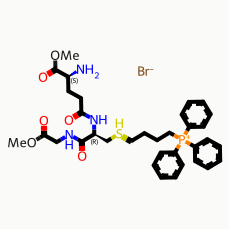 COC(=O)CNC(=O)[C@H](C[SH]=CCCC[P+](c1ccccc1)(c1ccccc1)c1ccccc1)NC(=O)CC[C@H](N)C(=O)OC.[Br-]